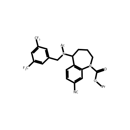 [C-]#[N+]c1ccc2c(c1)N(C(=O)OC(C)C)CCCC2N(Cc1cc(C(F)(F)F)cc(C(F)(F)F)c1)C(C)=O